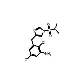 CN(C)S(=O)(=O)n1cnc(Cc2cc(Cl)cc(N)c2Cl)c1